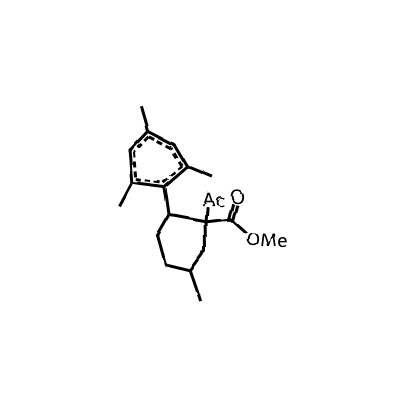 COC(=O)C1(C(C)=O)CC(C)CCC1c1c(C)cc(C)cc1C